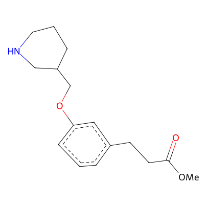 COC(=O)CCc1cccc(OCC2CCCNC2)c1